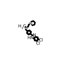 CN(CCN1CCCCC1)Cc1ccc(-c2nc3cc(Cl)c(Cl)cc3[nH]2)cc1